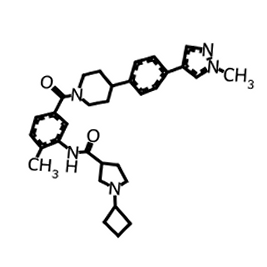 Cc1ccc(C(=O)N2CCC(c3ccc(-c4cnn(C)c4)cc3)CC2)cc1NC(=O)C1CCN(C2CCC2)C1